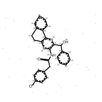 O=C(Cc1ccc(Cl)cc1)Nc1nc2c(nc1C(O)c1ccccc1)-c1ccccc1CC2